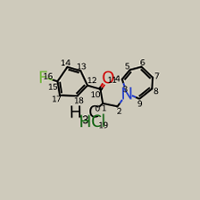 CC(CN1C=CC=CC=C1)C(=O)c1ccc(F)cc1.Cl